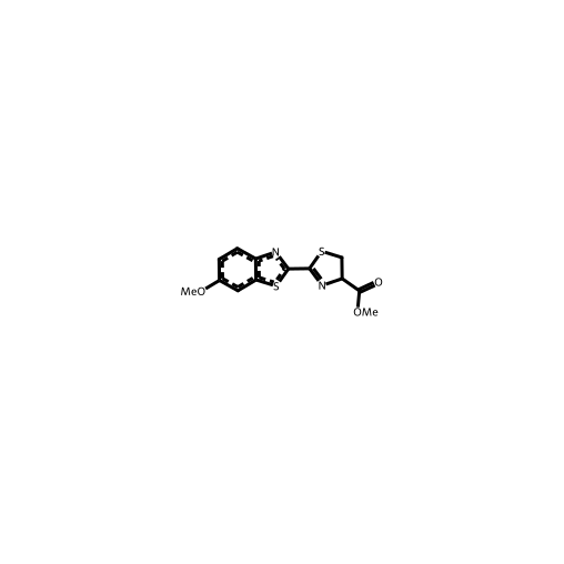 COC(=O)C1CSC(c2nc3ccc(OC)cc3s2)=N1